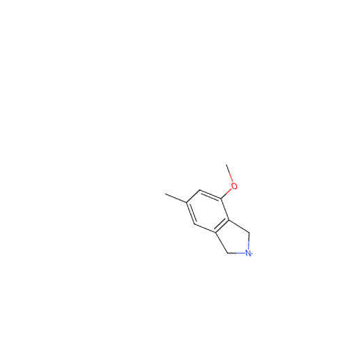 COc1cc(C)cc2c1C[N]C2